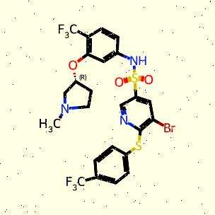 CN1CC[C@@H](Oc2cc(NS(=O)(=O)c3cnc(Sc4ccc(C(F)(F)F)cc4)c(Br)c3)ccc2C(F)(F)F)C1